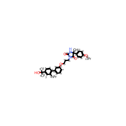 CCCc1cc(C(O)(C(F)(F)F)C(F)(F)F)ccc1-c1cccc(OCCCN2C(=O)NC(C)(c3ccc(OC(C)C)cc3)C2=O)c1